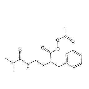 CC(=O)OOC(=O)C(CCNC(=O)C(C)C)Cc1ccccc1